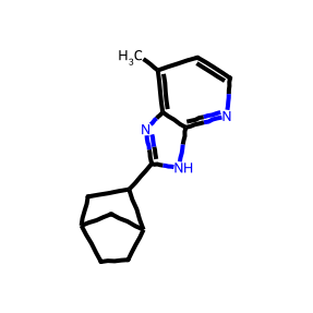 Cc1ccnc2[nH]c(C3CC4CCC3C4)nc12